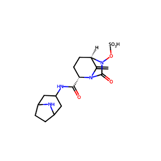 C=C1[C@H]2CC[C@@H](C(=O)NC3CC4CCC(C3)N4)N1C(=O)N2OS(=O)(=O)O